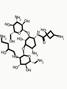 NCCC(O)CN[C@H]1[C@@H](OC2[C@@H](N)C[C@@H](NC(=O)C3(O)CC(N)C3)[C@H](O[C@H]3O[C@H](CO)[C@@H](O)[C@H](N)[C@H]3O)[C@H]2O)O[C@H](CN)[C@@H](O)[C@@H]1O